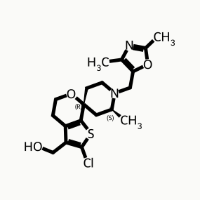 Cc1nc(C)c(CN2CC[C@]3(C[C@@H]2C)OCCc2c3sc(Cl)c2CO)o1